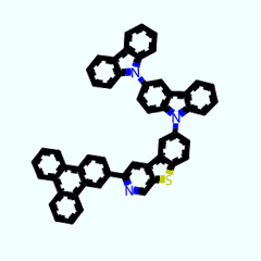 c1ccc2c(c1)c1ccccc1c1cc(-c3cc4c(cn3)sc3ccc(-n5c6ccccc6c6cc(-n7c8ccccc8c8ccccc87)ccc65)cc34)ccc21